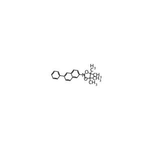 CC1(C)ON(c2ccc3cc(-c4ccccc4)ccc3c2)OC1(C)C